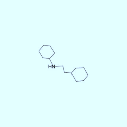 C1CC[C](CCNC2CCCCC2)CC1